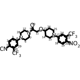 [C-]#[N+]c1ccc(N2CCN(C(=O)COC3CCN(c4ccc([N+](=O)[O-])c(C(F)(F)F)c4)CC3)CC2)cc1C(F)(F)F